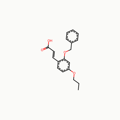 CCCOc1ccc(/C=C/C(=O)O)c(OCc2ccccc2)c1